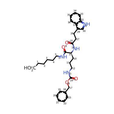 O=C(O)CCCCCNC(=O)[C@H](CCCNC(=O)OCc1ccccc1)NC(=O)CCc1c[nH]c2ccccc12